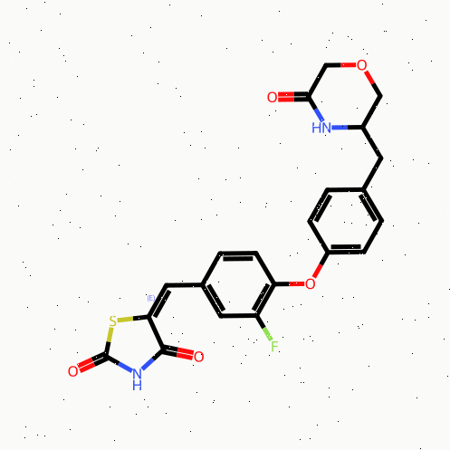 O=C1COCC(Cc2ccc(Oc3ccc(/C=C4/SC(=O)NC4=O)cc3F)cc2)N1